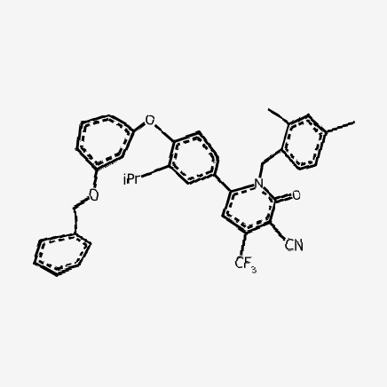 Cc1ccc(Cn2c(-c3ccc(Oc4cccc(OCc5ccccc5)c4)c(C(C)C)c3)cc(C(F)(F)F)c(C#N)c2=O)c(C)c1